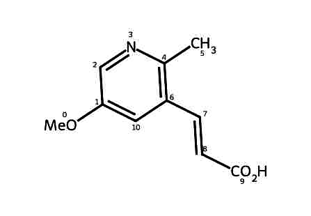 COc1cnc(C)c(C=CC(=O)O)c1